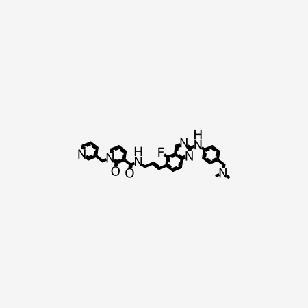 CN(C)Cc1ccc(Nc2ncc3c(F)c(C=CCNC(=O)c4cccn(Cc5cccnc5)c4=O)ccc3n2)cc1